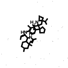 C=C(C)NC(C(=CC)Nc1ccc(C2(C(N)(CC3(C(C)C)CCC3)C(=C)C)CCCC2)cc1C)C1CCC(C)CC1(C)C